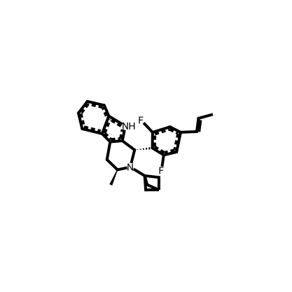 C/C=C/c1cc(F)c([C@H]2c3[nH]c4ccccc4c3C[C@H](C)N2C23CC(C2)C3)c(F)c1